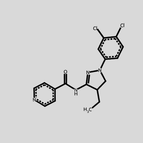 CCC1CN(c2ccc(Cl)c(Cl)c2)N=C1NC(=O)c1ccncc1